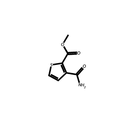 COC(=O)c1sccc1C(N)=O